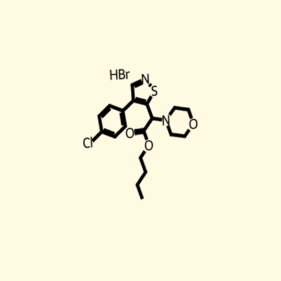 Br.CCCCOC(=O)C(c1sncc1-c1ccc(Cl)cc1)N1CCOCC1